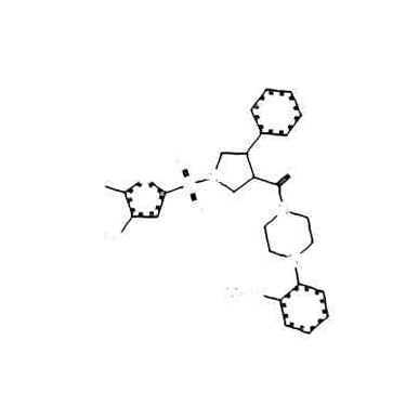 COc1ccccc1N1CCN(C(=O)C2CN(S(=O)(=O)c3cc(Br)c(Br)s3)CC2c2ccccc2)CC1